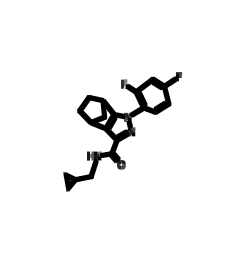 O=C(NCC1CC1)c1nn(-c2ccc(F)cc2F)c2c1C1CCC2C1